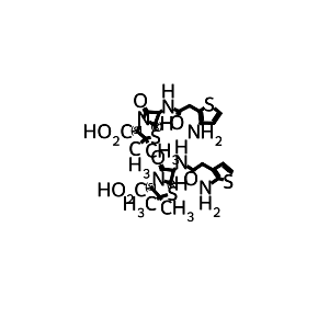 CC1(C)S[C@@H]2C(NC(=O)Cc3ccsc3N)C(=O)N2[C@H]1C(=O)O.CC1(C)S[C@@H]2C(NC(=O)Cc3sccc3N)C(=O)N2[C@H]1C(=O)O